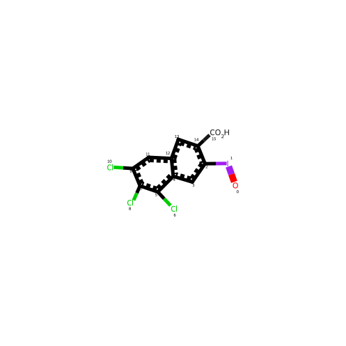 O=Ic1cc2c(Cl)c(Cl)c(Cl)cc2cc1C(=O)O